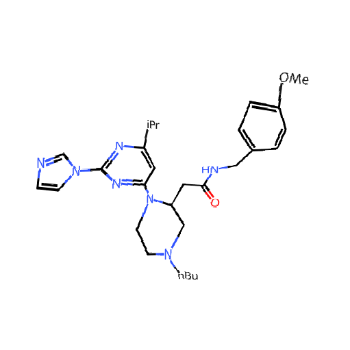 CCCCN1CCN(c2cc(C(C)C)nc(-n3ccnc3)n2)C(CC(=O)NCc2ccc(OC)cc2)C1